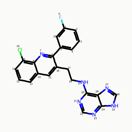 Fc1cccc(-c2nc3c(Cl)cccc3cc2CCNc2ncnc3[nH]cnc23)c1